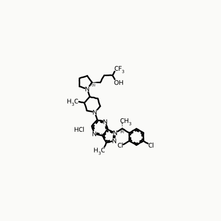 Cc1nn([C@H](C)c2ccc(Cl)cc2Cl)c2nc(N3CCC(N4CCC[C@H]4CCC(O)C(F)(F)F)C(C)C3)cnc12.Cl